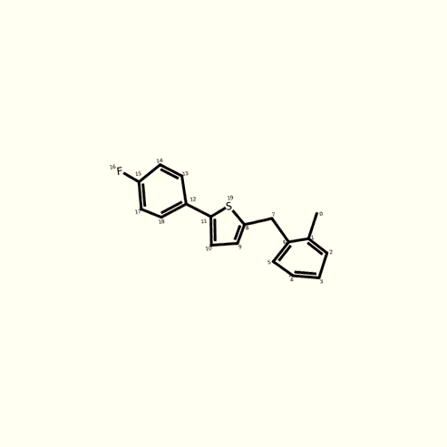 Cc1cc[c]cc1Cc1ccc(-c2ccc(F)cc2)s1